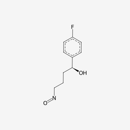 O=NCCC[C@H](O)c1ccc(F)cc1